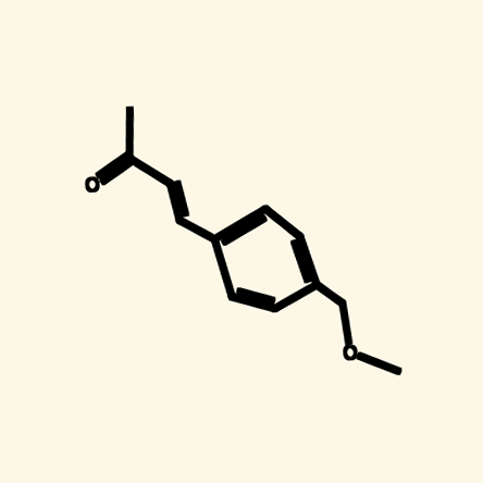 COCc1ccc(/C=C/C(C)=O)cc1